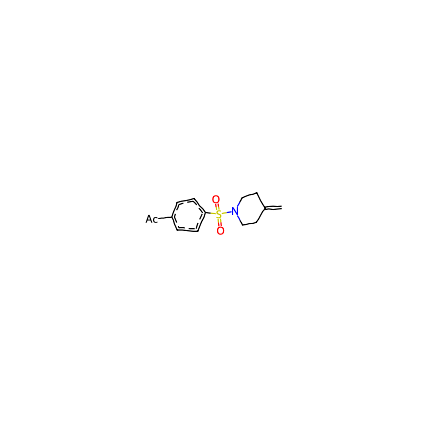 C=C1CCN(S(=O)(=O)c2ccc(C(C)=O)cc2)CC1